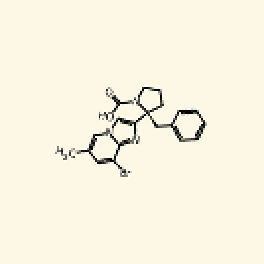 Cc1cc(Br)c2nc([C@@]3(Cc4ccccc4)CCCN3C(=O)O)cn2c1